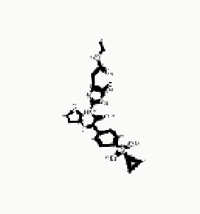 CCOC(=O)Cc1nc(NC(=O)C(O[C@H]2CCOC2)c2ccc(S(=O)(=O)C3CC3)cc2)sc1Cl